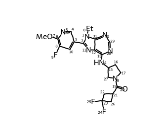 CCn1c(-c2cnc(OC)c(F)c2)nc2c(NC3CCN(C(=O)C4CC(F)(F)C4)C3)ncnc21